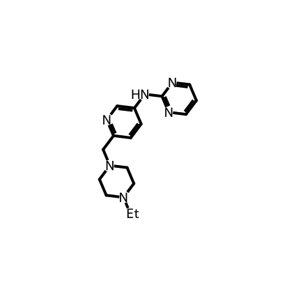 CCN1CCN(Cc2ccc(Nc3ncccn3)cn2)CC1